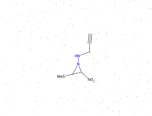 C#CCNN1C(SC)C1[N+](=O)[O-]